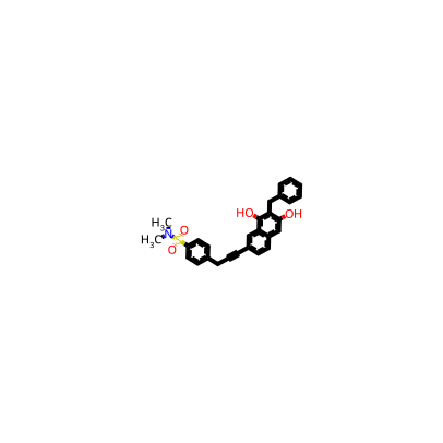 CN(C)S(=O)(=O)c1ccc(CC#Cc2ccc3cc(O)c(Cc4ccccc4)c(O)c3c2)cc1